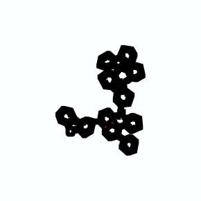 c1ccc(-c2ccccc2-c2ccccc2N(c2ccc(-c3ccc4oc5ccccc5c4c3)cc2)c2ccc3c(c2)c2cccc4c2n3-c2ccccc2C42c3ccccc3-c3ccccc32)cc1